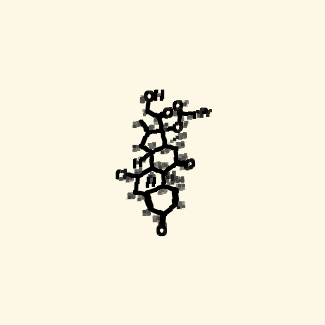 CCCC(=O)O[C@]1(C(=O)CO)C(C)C[C@H]2[C@@H]3C(Cl)CC4=CC(=O)C=C[C@]4(C)[C@H]3C(=O)C[C@@]21C